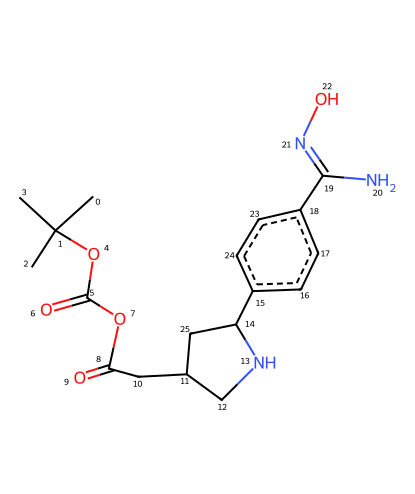 CC(C)(C)OC(=O)OC(=O)CC1CNC(c2ccc(C(N)=NO)cc2)C1